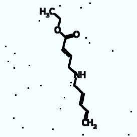 C=C/C=C/CNC/C=C/C(=O)OCC